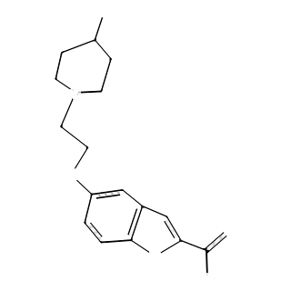 CC1CCN(CCOc2ccc3oc(C(=O)O)cc3c2)CC1